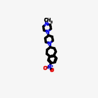 CN1CCN(C2CCN(C3CCc4ccc([N+](=O)[O-])cc4CC3)CC2)CC1